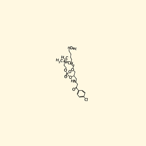 CCCCCCCCCCCCCCCCOCC(CNCC(=O)c1ccc(Cl)cc1)OP(=O)([O-])OCC[N+](C)(C)C